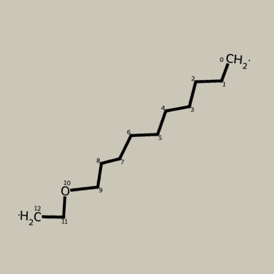 [CH2]CCCCCCCCCOC[CH2]